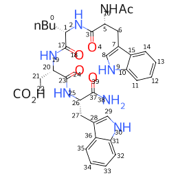 CCCC[C@H](NC(=O)[C@@H](Cc1c[nH]c2ccccc12)NC(C)=O)C(=O)N[C@@H](CC(=O)O)C(=O)N[C@@H](Cc1c[nH]c2ccccc12)C(N)=O